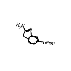 CCCCCc1ccc2c(c1)N=C(N)C2